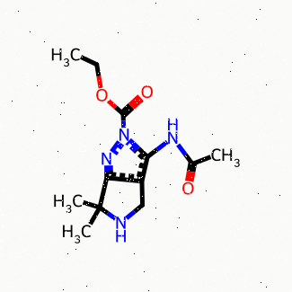 CCOC(=O)n1nc2c(c1NC(C)=O)CNC2(C)C